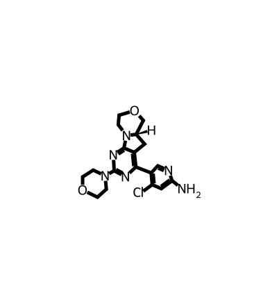 Nc1cc(Cl)c(-c2nc(N3CCOCC3)nc3c2C[C@H]2COCCN32)cn1